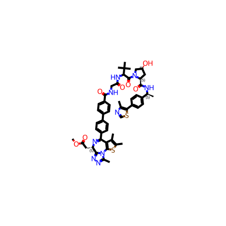 COC(=O)C[C@@H]1N=C(c2ccc(-c3ccc(C(=O)NCC(=O)NC(C(=O)N4C[C@H](O)C[C@H]4C(=O)N[C@@H](C)c4ccc(-c5scnc5C)cc4)C(C)(C)C)cc3)cc2)c2c(sc(C)c2C)-n2c(C)nnc21